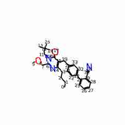 CCCCc1nc(COC)n(CC(C)(C)C)c(=O)c1Cc1ccc(-c2ccccc2C#N)cc1